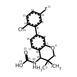 CC1(C)COc2cc(-c3cc(F)ccc3Cl)ccc2C1NC(=O)O